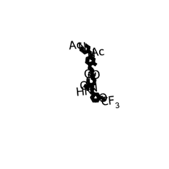 CC(=O)N1CCC(N(C(C)=O)c2ccc(/C=C/S(=O)(=O)N3CCC4(CC3)N=C(c3cccc(OC(F)(F)F)c3)NC4=O)c(C)c2)CC1